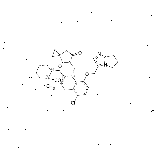 C[C@]1(C(=O)O)CCCC[C@H]1C(=O)N1CCc2c(Cl)ccc(OCc3nnc4n3CCC4)c2[C@H]1CN1CC2(CC2)CC1=O